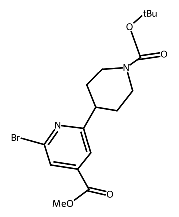 COC(=O)c1cc(Br)nc(C2CCN(C(=O)OC(C)(C)C)CC2)c1